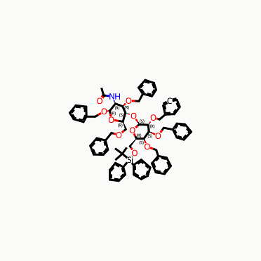 CC(=O)N[C@H]1[C@H](OCc2ccccc2)O[C@H](COCc2ccccc2)[C@@H](O[C@@H]2O[C@H](CO[Si](c3ccccc3)(c3ccccc3)C(C)(C)C)[C@H](OCc3ccccc3)[C@H](OCc3ccccc3)[C@H]2OCc2ccccc2)[C@@H]1OCc1ccccc1